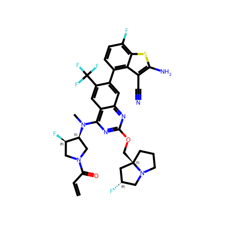 C=CC(=O)N1C[C@@H](F)[C@@H](N(C)c2nc(OC[C@@]34CCCN3C[C@H](F)C4)nc3cc(-c4ccc(F)c5sc(N)c(C#N)c45)c(C(F)(F)F)cc23)C1